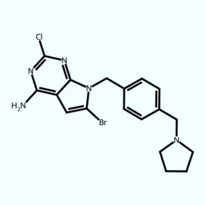 Nc1nc(Cl)nc2c1cc(Br)n2Cc1ccc(CN2CCCC2)cc1